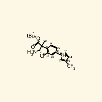 [CH2]C(CN)(C(=O)OC(C)(C)C)c1ccc([SH]2C=CC(C(F)(F)F)=C2)cc1Cl